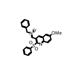 COc1ccc2nc(S(=O)(=O)c3ccccc3)c(/C=[N+](\[O-])Cc3ccccc3)cc2c1